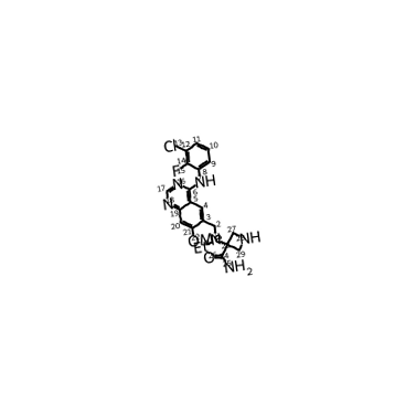 CCN(Cc1cc2c(Nc3cccc(Cl)c3F)ncnc2cc1OC)C1(C(N)=O)CNC1